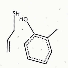 C=CCS.Cc1ccccc1O